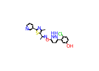 C/C(=N\OC1=CC=C(c2cc(O)ccc2Cl)NN1)c1sc(-c2cccnc2)nc1C